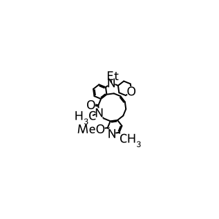 CCN(c1cccc2c1CC=CCCc1cc(C)nc(OC)c1CN(C)C2=O)C1CCOCC1